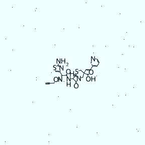 C#CCON=C(C(=O)NC1C(=O)N2CC(C=Cc3cccnc3)(C(=O)O)CS[C@H]12)c1csc(N)n1